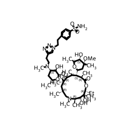 CC[C@H]1OC(=O)[C@H](C)[C@@H](C2C[C@@](C)(OC)[C@@H](O)[C@H](C)O2)[C@H](C)[C@@H](O[C@@H]2O[C@H](C)C[C@H](N(C)CCc3cn(CCc4ccc(S(N)(=O)=O)cc4)nn3)[C@H]2O)[C@](C)(O)C[C@@H](C)CN(C)[C@H](C)[C@@H](O)[C@]1(C)O